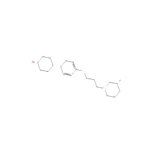 C[C@H]1CCCN(CCCOC2=CCC([C@H]3CC[C@H](O)CC3)C=C2)C1